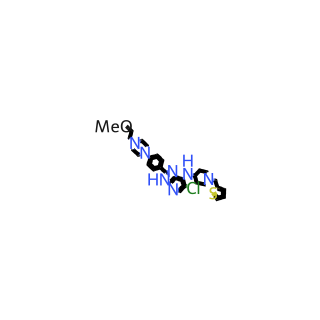 COCCN1CCN(c2ccc(-c3nc4c(NC5CCN(Cc6cccs6)CC5)c(Cl)cnc4[nH]3)cc2)CC1